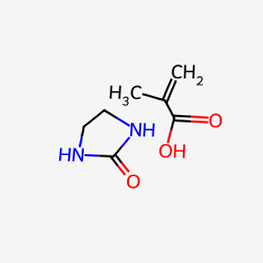 C=C(C)C(=O)O.O=C1NCCN1